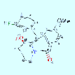 COc1ccc2c(=O)n3c(c(-c4cccc(F)c4)c2c1)[C@H](O)CCC3